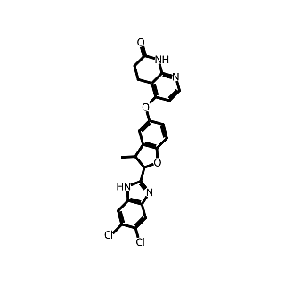 CC1c2cc(Oc3ccnc4c3CCC(=O)N4)ccc2OC1c1nc2cc(Cl)c(Cl)cc2[nH]1